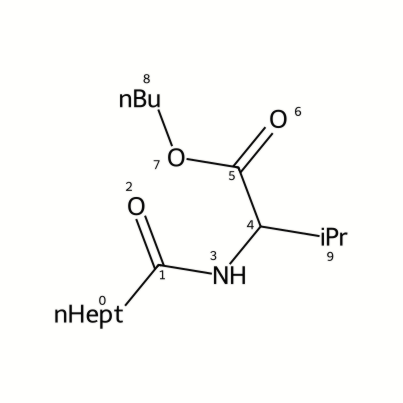 CCCCCCCC(=O)NC(C(=O)OCCCC)C(C)C